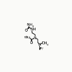 CC(C)N(C)CCN(CCNC(N)=O)C(=O)C(C)(C)C